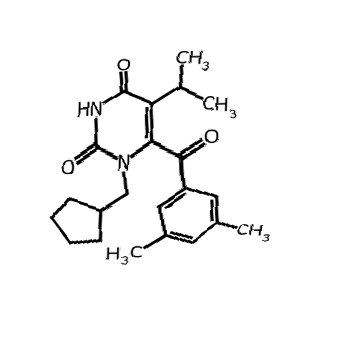 Cc1cc(C)cc(C(=O)c2c(C(C)C)c(=O)[nH]c(=O)n2CC2CCCC2)c1